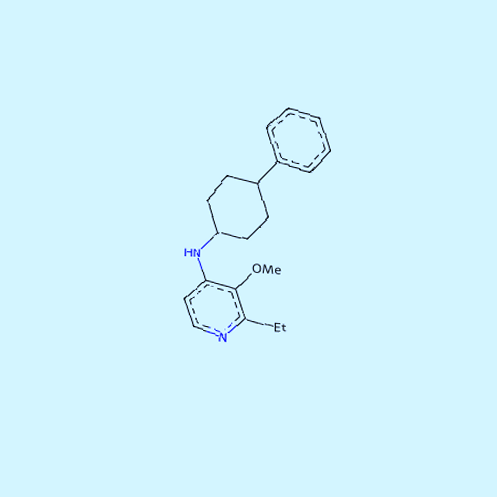 CCc1nccc(NC2CCC(c3ccccc3)CC2)c1OC